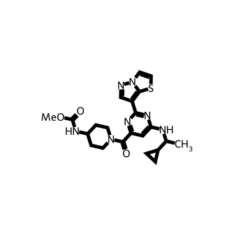 COC(=O)NC1CCN(C(=O)c2cc(NC(C)C3CC3)nc(-c3cnn4ccsc34)n2)CC1